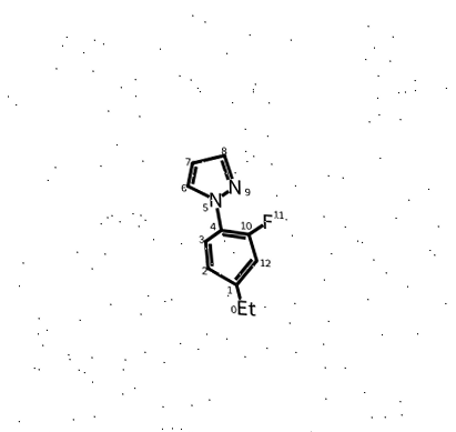 [CH2]Cc1ccc(-n2cccn2)c(F)c1